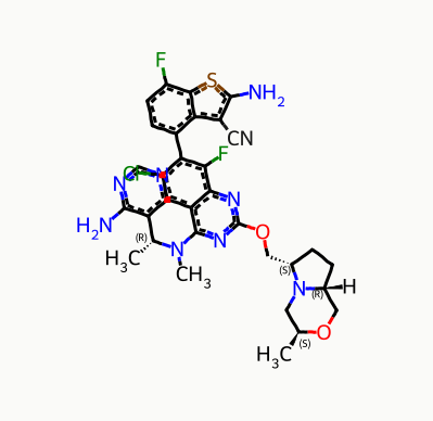 C[C@H](c1cncnc1N)N(C)c1nc(OC[C@@H]2CC[C@@H]3CO[C@@H](C)CN32)nc2c(F)c(-c3ccc(F)c4sc(N)c(C#N)c34)c(Cl)cc12